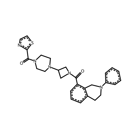 O=C(c1nccs1)N1CCN(C2CN(C(=O)c3cccc4c3CN(c3ccccc3)CC4)C2)CC1